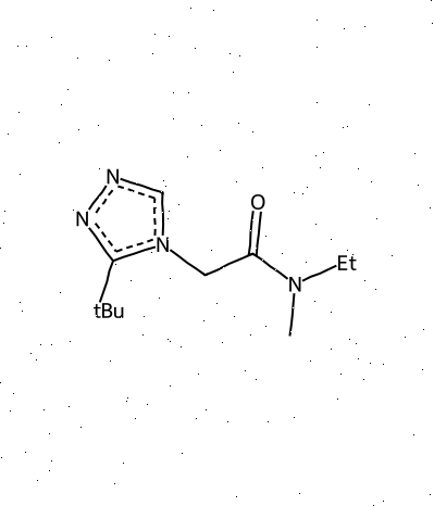 CCN(C)C(=O)Cn1cnnc1C(C)(C)C